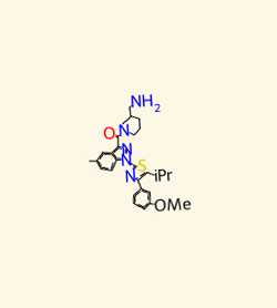 COc1cccc(-c2nc(-n3nc(C(=O)N4CCCC(CN)C4)c4cc(C)ccc43)sc2C(C)C)c1